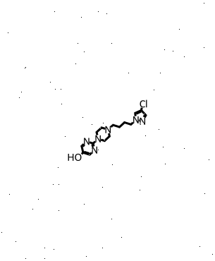 Oc1cnc(N2CCN(CCCCn3cc(Cl)cn3)CC2)nc1